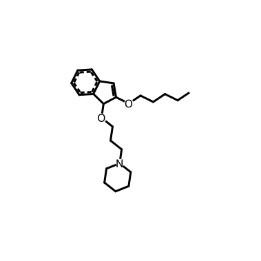 CCCCCOC1=Cc2ccccc2C1OCCCN1CCCCC1